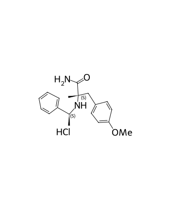 COc1ccc(C[C@](C)(N[C@@H](C)c2ccccc2)C(N)=O)cc1.Cl